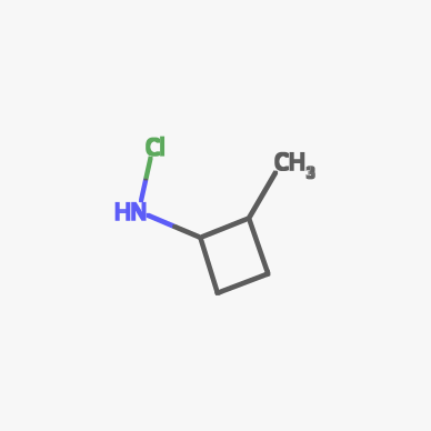 CC1CCC1NCl